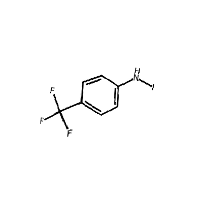 FC(F)(F)c1ccc(NI)cc1